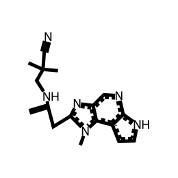 C=C(Cc1nc2cnc3[nH]ccc3c2n1C)NCC(C)(C)C#N